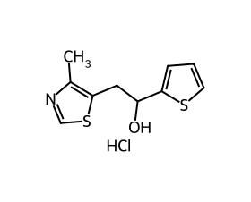 Cc1ncsc1CC(O)c1cccs1.Cl